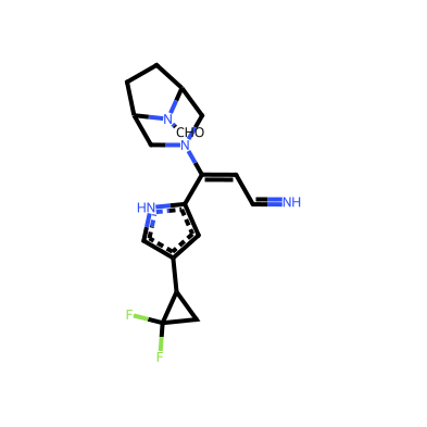 N=C/C=C(\c1cc(C2CC2(F)F)c[nH]1)N1CC2CCC(C1)N2C=O